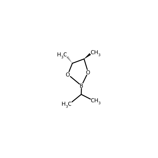 CC(C)B1O[C@H](C)[C@@H](C)O1